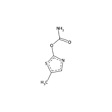 Cc1cnc(OC(N)=O)s1